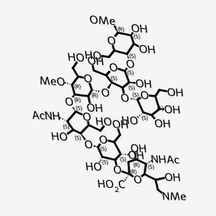 CNCC(O)C1O[C@](OC2[C@@H](O)C(CO)O[C@@H](O[C@@H]3C(CO)O[C@@H](O[C@@H]4C(O)[C@@H](O[C@H]5C(CO)O[C@@H](O[C@@H]6C(CO)O[C@@H](OC)[C@@H](O)C6O)[C@@H](O)C5O[C@@H]5OC(CO)[C@@H](O)C(O)[C@@H]5O)OC(CO)[C@H]4OC)[C@@H](NC(C)=O)C3O)[C@H]2O)(C(=O)O)C[C@@H](O)[C@@H]1NC(C)=O